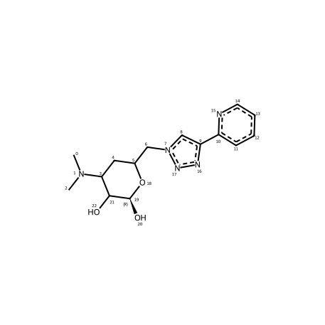 CN(C)C1CC(Cn2cc(-c3ccccn3)nn2)O[C@@H](O)C1O